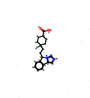 O=C(O)C1CCC(F)(CCC2c3ccccc3-c3cncn32)CC1